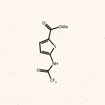 COC(=O)c1ccc(NC(=O)C(F)(F)F)s1